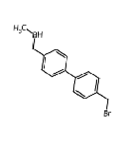 CBCc1ccc(-c2ccc(CBr)cc2)cc1